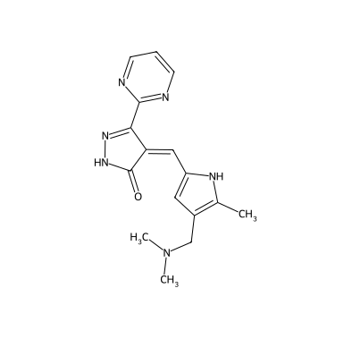 Cc1[nH]c(C=C2C(=O)NN=C2c2ncccn2)cc1CN(C)C